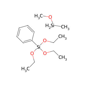 CCO[Si](OCC)(OCC)c1ccccc1.CO[SiH2]C